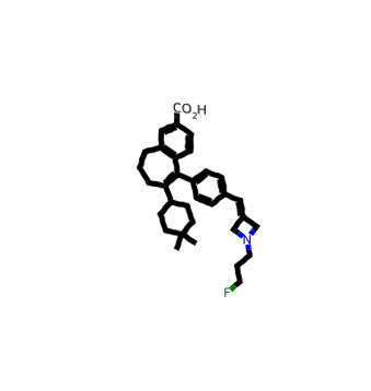 CC1(C)CCC(C2=C(c3ccc(C=C4CN(CCCF)C4)cc3)c3ccc(C(=O)O)cc3CCC2)CC1